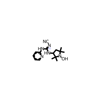 CC1(C)CC(N/C(=N/C#N)Nc2ccccn2)C(C)(C)N1O